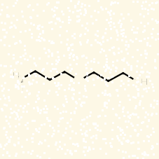 C.CCCCOCCCC